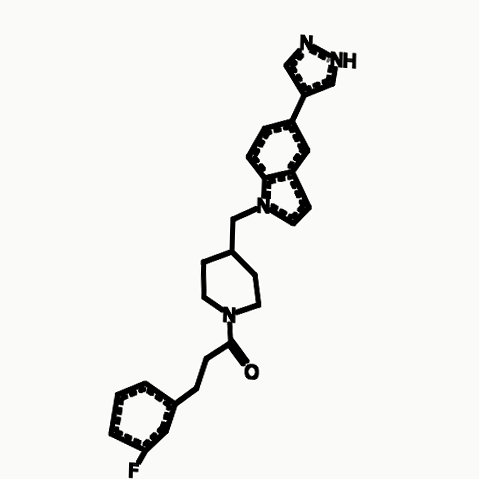 O=C(CCc1cccc(F)c1)N1CCC(Cn2ccc3cc(-c4cn[nH]c4)ccc32)CC1